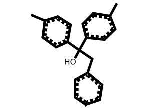 Cc1ccc(C(O)(Cc2cc[c]cc2)c2ccc(C)cc2)cc1